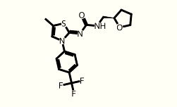 Cc1cn(-c2ccc(C(F)(F)F)cc2)c(=NC(=O)NC[C@H]2CCCO2)s1